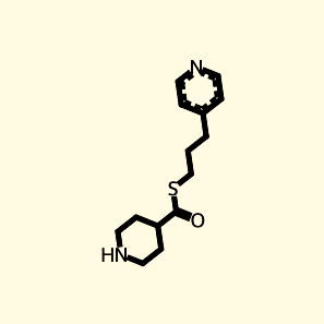 O=C(SCCCc1ccncc1)C1CCNCC1